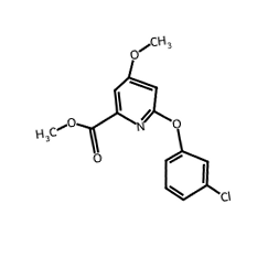 COC(=O)c1cc(OC)cc(Oc2cccc(Cl)c2)n1